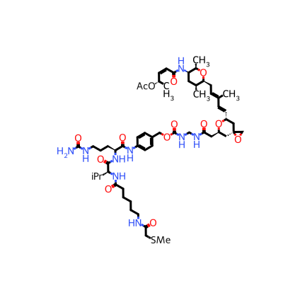 CSCC(=O)NCCCCCC(=O)N[C@H](C(=O)N[C@@H](CCCNC(N)=O)C(=O)Nc1ccc(COC(=O)NCNC(=O)C[C@@H]2C[C@@]3(CO3)C[C@@H](/C=C/C(C)=C/C[C@@H]3O[C@H](C)[C@H](NC(=O)/C=C\[C@H](C)OC(C)=O)C[C@@H]3C)O2)cc1)C(C)C